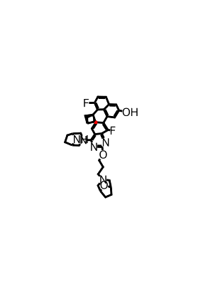 Oc1cc(-c2c(Cl)cc3c(N4CC5CCC(C4)N5)nc(OCCCN4CC5CCC(C4)O5)nc3c2F)c2c(C34CC(C3)C4)c(F)ccc2c1